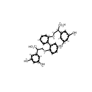 O=C(O)C(COc1ccccc1-c1ccccc1OCC(C(=O)O)c1cc(O)cc(O)c1)c1cc(O)cc(O)c1